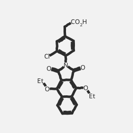 CCOc1c2c(c(OCC)c3ccccc13)C(=O)N(c1ccc(CC(=O)O)cc1Cl)C2=O